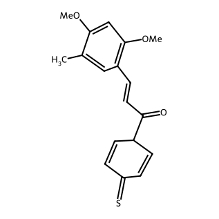 COc1cc(OC)c(/C=C/C(=O)C2C=CC(=S)C=C2)cc1C